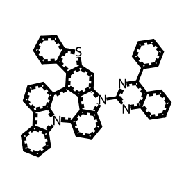 c1ccc(-c2nc(-n3c4cc5sc6ccccc6c5c5c6cccc7c8ccccc8n(c8cccc3c8c54)c76)nc3ccccc23)cc1